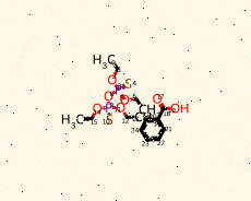 CCOP(=S)(OCC)OP(=S)(OCC)OCC.O=C(O)c1ccccc1